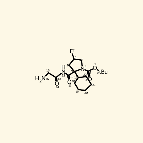 CC(C)(C)OC(=O)N1CC(F)CC1(C(=O)NC(=O)CN)C1CCCCC1